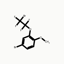 COc1ccc(Br)cc1OC(F)(F)C(F)(F)Br